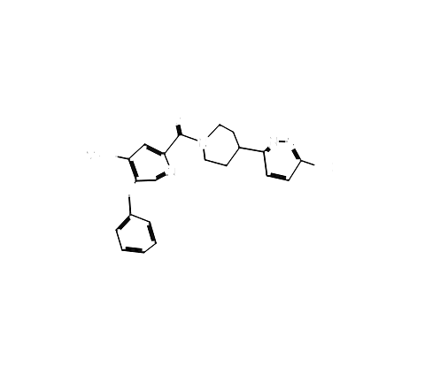 COc1cc(C(=O)N2CCC(c3ccc(C)nn3)CC2)ncc1Oc1ccccc1